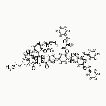 CCCCCC(C(=O)NCNC(=O)c1ccc(-c2ccc(C(=O)NC(CC(=O)OCc3ccccc3)C(=O)OCc3ccccc3)c(OCC(=O)OCc3ccccc3)c2)o1)[C@@H](CC)N(C=O)OC(=O)c1ccccc1OC(=O)N(C)C